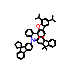 CC(C)c1cc(C(C)C)c2oc3c(-c4ccccc4N(c4ccc5c(c4)C(C)(C)c4ccccc4-5)c4ccc5c(c4)C4(CCCC4)c4ccccc4-5)cccc3c2c1